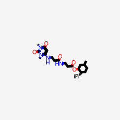 CC1CCC(C(C)C)C(OC(=O)CCNC(=O)CCNc2cc(=O)n(C)c(=O)n2C)C1